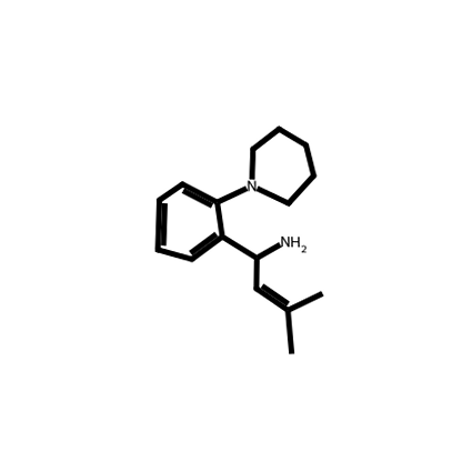 CC(C)=CC(N)c1ccccc1N1CCCCC1